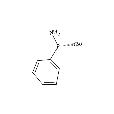 CC(C)(C)[P@@](N)c1ccccc1